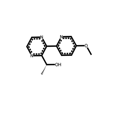 COc1ccc(-c2nccnc2[C@@H](C)O)nc1